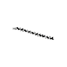 CC(C)COCCOCCOCCOCCOCCOCCOCCOCCOCCO